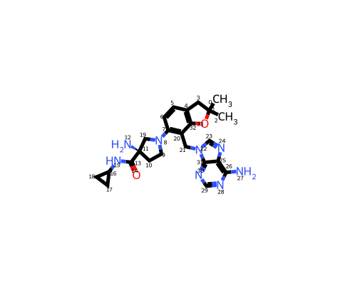 CC1(C)Cc2ccc(N3CC[C@](N)(C(=O)NC4CC4)C3)c(Cn3cnc4c(N)ncnc43)c2O1